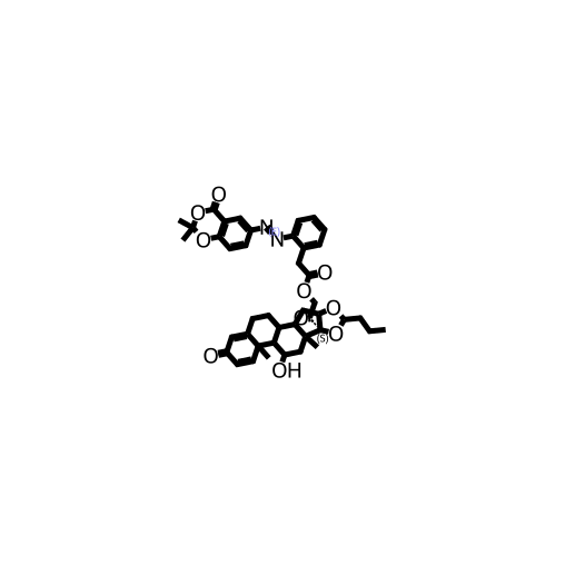 CCCC1OC2CC3C4CCC5=CC(=O)C=CC5(C)C4C(O)CC3(C)[C@]2(C(=O)COC(=O)Cc2ccccc2/N=N/c2ccc3c(c2)C(=O)OC(C)(C)O3)O1